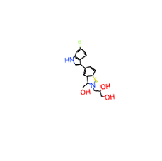 OCC(O)CN1Sc2ccc(-c3c[nH]c4cc(F)ccc34)cc2C1CO